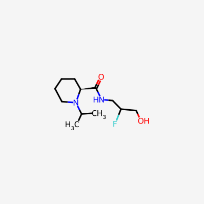 CC(C)N1CCCC[C@H]1C(=O)NCC(F)CO